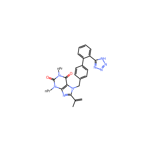 C=C(C)c1nc2c(c(=O)n(CCC)c(=O)n2CCC)n1Cc1ccc(-c2ccccc2-c2nnn[nH]2)cc1